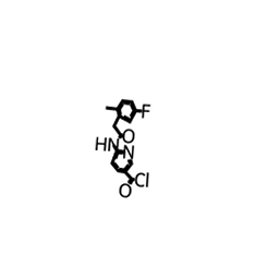 Cc1ccc(F)cc1CC(=O)Nc1ccc(C(=O)Cl)cn1